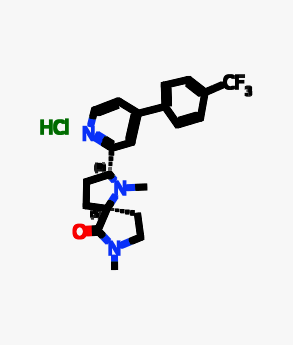 CN1CC[C@@]2(CC[C@H](c3cc(-c4ccc(C(F)(F)F)cc4)ccn3)N2C)C1=O.Cl